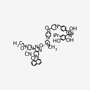 C=CC(=O)N1CCN(c2nc(OC[C@@H]3C[C@H](N4CCN(C(=O)C5CCN(Cc6ccc(-n7c(O)nnc7-c7cc(C(C)C)c(O)cc7O)cc6)CC5)CC4)CN3C)nc3c2CCN(c2cccc4cccc(Cl)c24)C3)C[C@@H]1CC#N